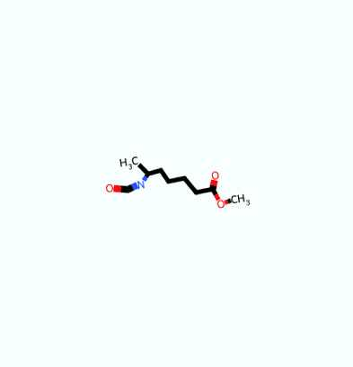 COC(=O)CCCCC(C)N=C=O